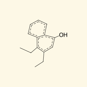 CCc1cc(O)c2ccccc2c1CC